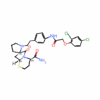 NC(=O)[C@H]1CCS[C@@H]2C[C@]3(CCCN3C(=O)Cc3ccc(NC(=O)COc4ccc(Cl)cc4Cl)cc3)C(=O)N12